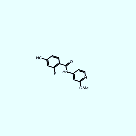 COc1cc(NC(=O)c2ccc(C#N)cc2F)ccn1